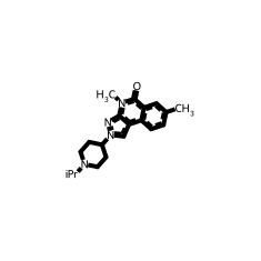 Cc1ccc2c(c1)c(=O)n(C)c1nn(C3CCN(C(C)C)CC3)cc21